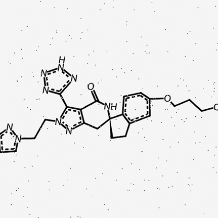 O=C1N[C@@]2(CCc3cc(OCCCC(F)(F)F)ccc32)Cc2nn(CCn3cccn3)c(-c3nn[nH]n3)c21